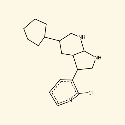 Clc1ncccc1C1CNC2NCC(C3CCCCC3)CC21